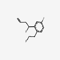 C=CCC(F)c1cc(F)ccc1CCF